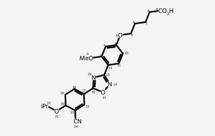 COc1cc(OCCCCC(=O)O)ccc1-c1noc(C2=CCC(OC(C)C)C(C#N)=C2)n1